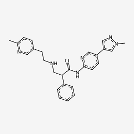 Cc1ccc(CCNCC(C(=O)Nc2ccc(-c3cnn(C)c3)cn2)c2ccccc2)cn1